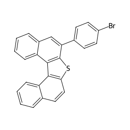 Brc1ccc(-c2cc3ccccc3c3c2sc2ccc4ccccc4c23)cc1